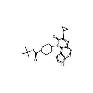 CC(C)(C)OC(=O)N1CCC(n2c(=O)c(C3CC3)nc3cnc4[nH]ccc4c32)CC1